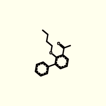 CCCCOc1c(C(C)=O)cccc1-c1ccccc1